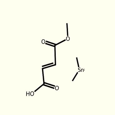 COC(=O)C=CC(=O)O.[CH3][Sn][CH3]